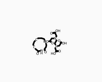 O=C(O)CN(CCN(CC(=O)O)CC(=O)O)CC(=O)O.O=C1CCCCCCCCCCCC(=O)N1